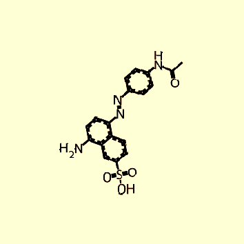 CC(=O)Nc1ccc(N=Nc2ccc(N)c3cc(S(=O)(=O)O)ccc23)cc1